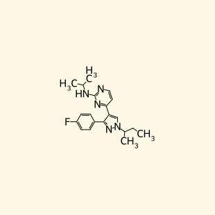 CCC(C)n1cc(-c2ccnc(NC(C)C)n2)c(-c2ccc(F)cc2)n1